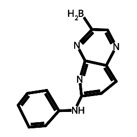 Bc1cnc2ccc(Nc3ccccc3)nc2n1